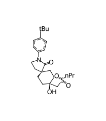 CCCS(=O)(=O)C[C@]1(O)CC[C@]2(CCN(c3ccc(C(C)(C)C)cc3)C2=O)CC1